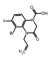 C=CCN1C(=O)CN(C(=O)O)c2ccc(F)c(Br)c21